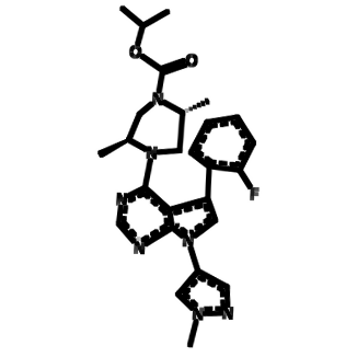 CC(C)OC(=O)N1C[C@H](C)N(c2ncnc3c2c(-c2ccccc2F)cn3-c2cnn(C)c2)C[C@H]1C